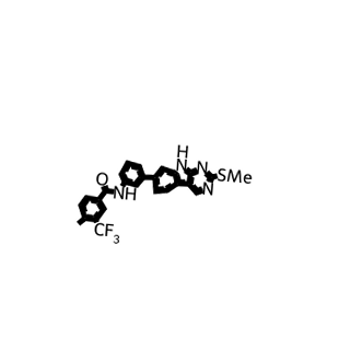 CSc1ncc2c(n1)[nH]c1cc(-c3cccc(NC(=O)c4ccc(C)c(C(F)(F)F)c4)c3)ccc12